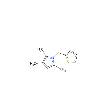 Cc1cc(C)n(Cc2cccs2)c1C